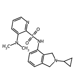 CN(C)c1cccnc1S(=O)(=O)Nc1cccc2c1CN(C1CC1)C2